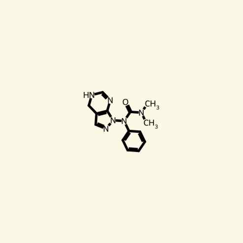 CN(C)C(=O)N(c1ccccc1)n1ncc2c1N=CNC2